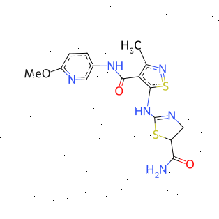 COc1ccc(NC(=O)c2c(C)nsc2NC2=NCC(C(N)=O)S2)cn1